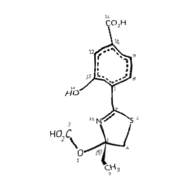 C[C@]1(OC(=O)O)CSC(c2ccc(C(=O)O)cc2O)=N1